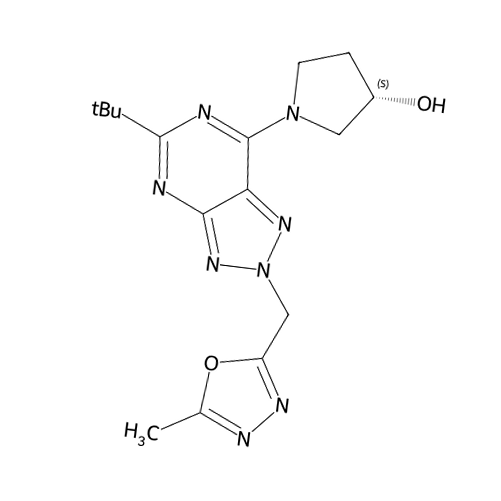 Cc1nnc(Cn2nc3nc(C(C)(C)C)nc(N4CC[C@H](O)C4)c3n2)o1